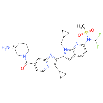 CS(=O)(=O)N(c1ccc2cc(-c3nc4cc(C(=O)N5CCC[C@@H](N)C5)ccn4c3C3CC3)n(CC3CC3)c2n1)C(F)F